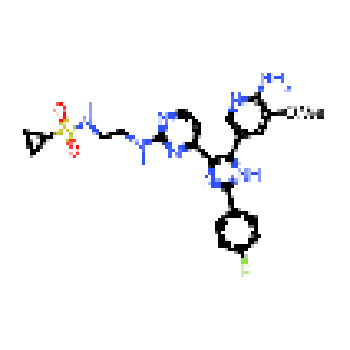 COc1cc(-c2[nH]c(-c3ccc(F)cc3)nc2-c2ccnc(NCCNS(=O)(=O)C3CC3)n2)cnc1N